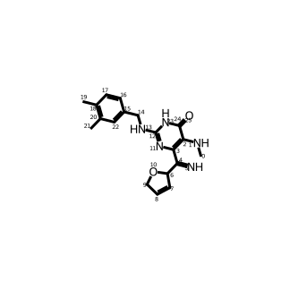 CNc1c(C(=N)C2C=CCO2)nc(NCc2ccc(C)c(C)c2)[nH]c1=O